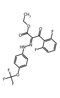 CCOC(=O)C(=NNc1ccc(OC(F)(F)F)cc1)C(=O)c1c(F)cccc1F